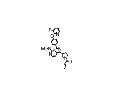 CC=CC(=O)N1CCC(c2nc(-c3ccc(Oc4ncccc4F)cc3)n3c(NC)nccc23)C1